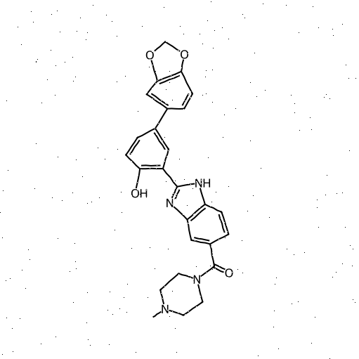 CN1CCN(C(=O)c2ccc3[nH]c(-c4cc(-c5ccc6c(c5)OCO6)ccc4O)nc3c2)CC1